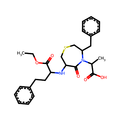 CCOC(=O)C(CCc1ccccc1)NC1CSCC(Cc2ccccc2)N(C(C)C(=O)O)C1=O